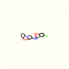 O=C(Cc1cc(Cl)ccc1O)NC1=CCN([C@H]2CCCC[C@@H]2O)C=C1